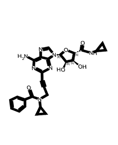 Nc1nc(C#CCN(C(=O)c2ccccc2)C2CC2)nc2c1ncn2[C@@H]1O[C@H](C(=O)NC2CC2)[C@@H](O)[C@H]1O